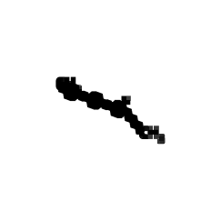 CCCCCCCc1ccc(C#Cc2ccc(C#Cc3ccc(CC)cc3)cc2)cc1F